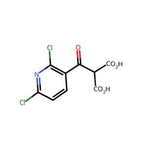 O=C(O)C(C(=O)O)C(=O)c1ccc(Cl)nc1Cl